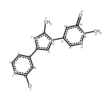 Cc1nc(-c2ccnc(Cl)c2)cn1-c1cnn(C)c(=O)c1